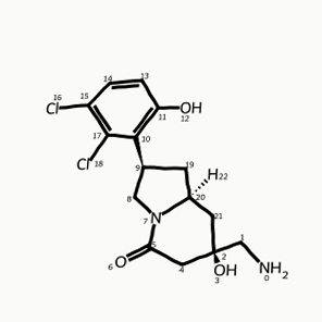 NC[C@]1(O)CC(=O)N2C[C@@H](c3c(O)ccc(Cl)c3Cl)C[C@H]2C1